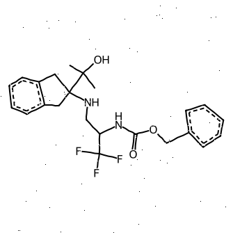 CC(C)(O)C1(NCC(NC(=O)OCc2ccccc2)C(F)(F)F)Cc2ccccc2C1